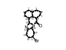 O=c1c2cccc3cccc(c32)c2nc3ccc(Br)cc3n12